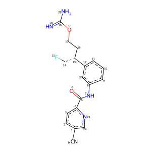 N#Cc1ccc(C(=O)Nc2cccc([C@H](CF)CCOC(=N)N)c2)nc1